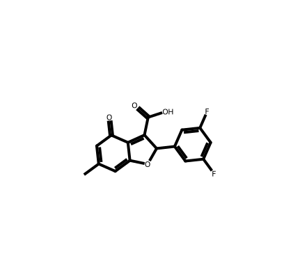 CC1=CC(=O)C2=C(C(=O)O)C(c3cc(F)cc(F)c3)OC2=C1